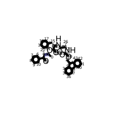 C/C(=C\C(=O)c1ccccc1)OC(=O)[C@H](Cc1ccccc1)NC(=O)[C@H](C)NC(=O)OCC1c2ccccc2-c2ccccc21